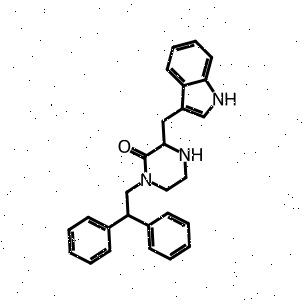 O=C1C(Cc2c[nH]c3ccccc23)NCCN1CC(c1ccccc1)c1ccccc1